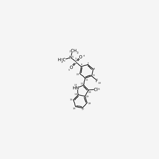 CN(C)S(=O)(=O)c1ccc(F)c(-c2[nH]c3ccccc3c2Cl)c1